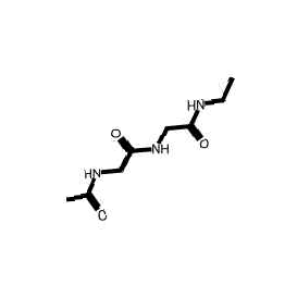 CCNC(=O)CNC(=O)CNC(C)=O